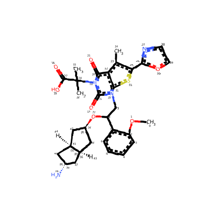 COc1ccccc1C(Cn1c(=O)n(C(C)(C)C(=O)O)c(=O)c2c(C)c(-c3ncco3)sc21)O[C@H]1C[C@H]2C[C@H](N)C[C@H]2C1